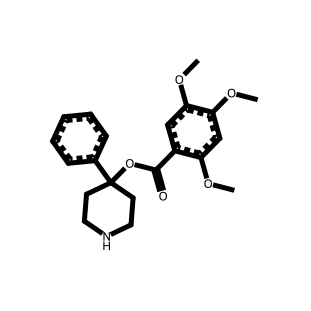 COc1cc(OC)c(C(=O)OC2(c3ccccc3)CCNCC2)cc1OC